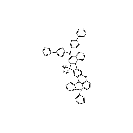 CC1(C)c2cc3c(cc2-c2c1cc(N(c1ccc(-c4ccccc4)cc1)c1ccc(-c4ccccc4)cc1)c1ccccc21)Oc1cccc2c1B3c1ccccc1N2c1ccccc1